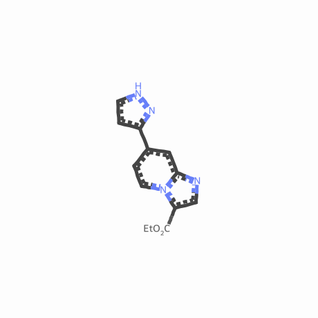 CCOC(=O)c1cnc2cc(-c3cc[nH]n3)ccn12